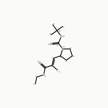 CCOC(=O)/C(F)=C/C1CCCN1C(=O)OC(C)(C)C